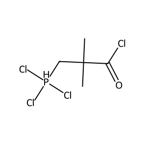 CC(C)(C[PH](Cl)(Cl)Cl)C(=O)Cl